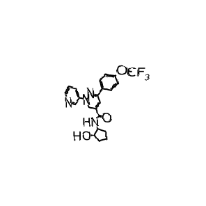 O=C(N[C@H]1CCC[C@H]1O)C1=CC(c2ccc(OC(F)(F)F)cc2)=NN(c2cccnc2)C1